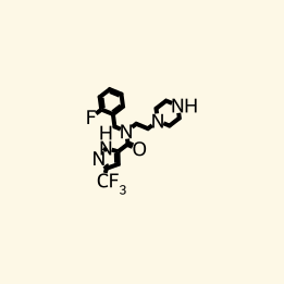 O=C(c1cc(C(F)(F)F)n[nH]1)N(CCN1CCNCC1)Cc1ccccc1F